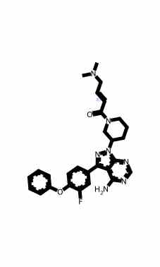 CN(C)C/C=C/C(=O)N1CCCC(n2nc(-c3ccc(Oc4ccccc4)c(F)c3)c3c(N)ncnc32)C1